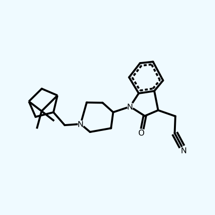 CC1(C)C2CC(CN3CCC(N4C(=O)C(CC#N)c5ccccc54)CC3)C1C2